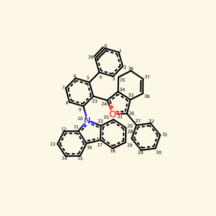 c1cccc(-c2cccc(-n3c4ccccc4c4ccccc43)c2-c2oc(-c3ccccc3)c3c2CCC=C3)c#1